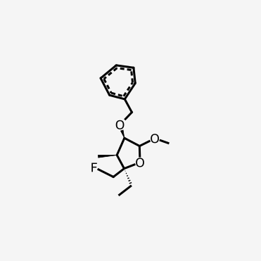 CC[C@@]1(CF)OC(OC)[C@H](OCc2ccccc2)[C@@H]1C